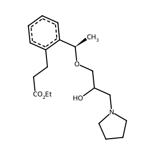 CCOC(=O)CCc1ccccc1[C@@H](C)OCC(O)CN1CCCC1